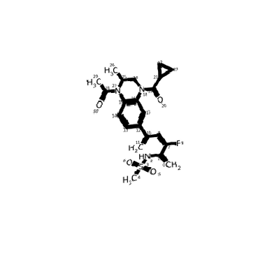 C=C(NS(C)(=O)=O)/C(F)=C\C(=C)c1ccc2c(c1)N(C(=O)C1CC1)CC(C)N2C(C)=O